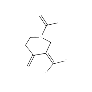 C=C1CCN(C(=C)C)C/C1=C(/CC)C(C)C